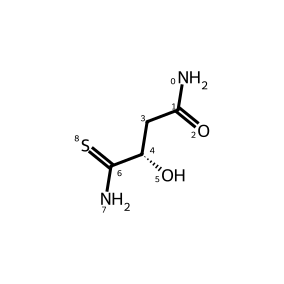 NC(=O)C[C@H](O)C(N)=S